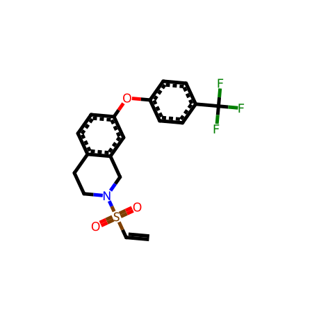 C=CS(=O)(=O)N1CCc2ccc(Oc3ccc(C(F)(F)F)cc3)cc2C1